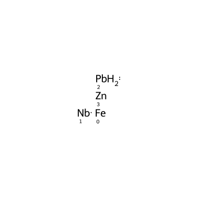 [Fe].[Nb].[PbH2].[Zn]